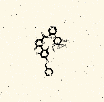 C[C@H]1C[C@@H](c2ccncc2NC(=O)c2ccc(F)c(-c3c(F)cc(OCC4CCOCC4)cc3F)n2)C[C@@H](N)[C@]1(C)O